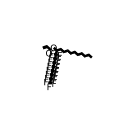 C=CC(=O)OC(CCCCCCCCCC)C(F)(F)C(F)(F)C(F)(F)C(F)(F)C(F)(F)C(F)(F)C(F)(F)C(F)(F)F